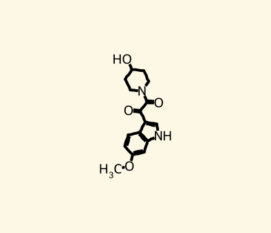 COc1ccc2c(C(=O)C(=O)N3CCC(O)CC3)c[nH]c2c1